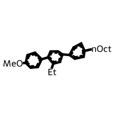 CCCCCCCCc1ccc(-c2ccc(-c3ccc(OC)cc3)c(CC)c2)cc1